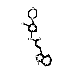 O=C(C=Cc1n[nH]c2ccccc12)Nc1ccc(N2CCOCC2)c(Cl)c1